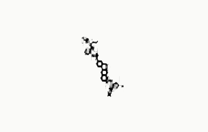 CC[C@H](C)C(NC(=O)OC)C(=O)N1C[C@@H](C)C[C@H]1c1ncc(-c2ccc3c(c2)COc2cc4c(ccc5nc([C@@H]6C[C@H](COC)CN6C(=O)OC(C)(C)C)[nH]c54)cc2-3)[nH]1